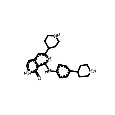 O=c1[nH]ccc2cc(C3CCNCC3)nc(Nc3ccc(C4CCNCC4)cc3)c12